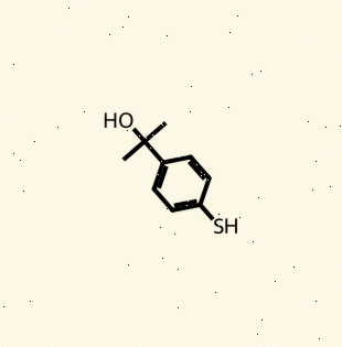 CC(C)(O)c1ccc(S)cc1